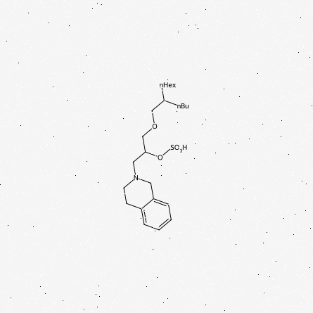 CCCCCCC(CCCC)COCC(CN1CCc2ccccc2C1)OS(=O)(=O)O